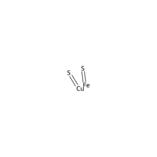 [S]=[Cu].[S]=[Fe]